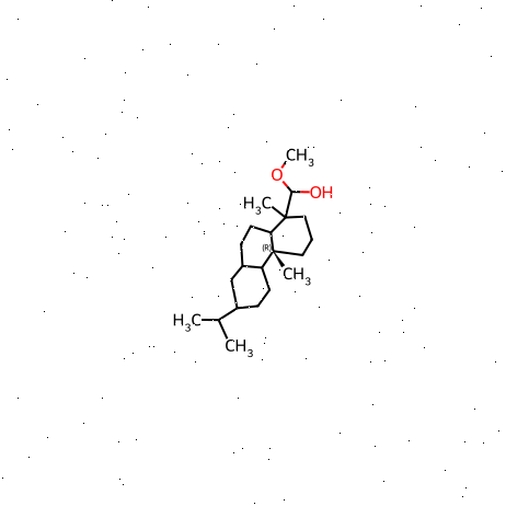 COC(O)C1(C)CCC[C@]2(C)C3CCC(C(C)C)CC3CCC12